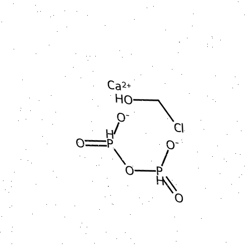 O=[PH]([O-])O[PH](=O)[O-].OCCl.[Ca+2]